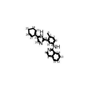 Cc1ccc(Nc2nccc3ccccc23)cc1-c1ncc(C2=CCCC=C2)[nH]1